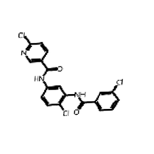 O=C(Nc1ccc(Cl)c(NC(=O)c2cccc(Cl)c2)c1)c1ccc(Cl)nc1